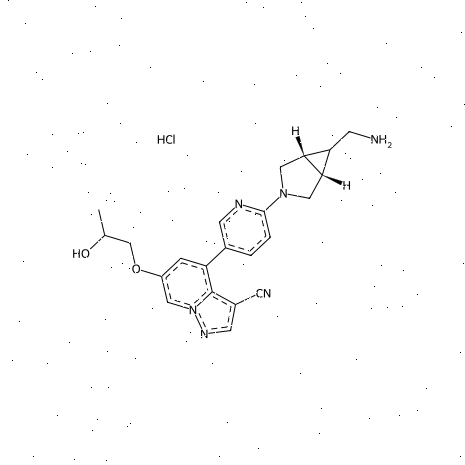 CC(O)COc1cc(-c2ccc(N3C[C@@H]4C(CN)[C@@H]4C3)nc2)c2c(C#N)cnn2c1.Cl